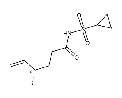 C=C[C@@H](C)CCC(=O)NS(=O)(=O)C1CC1